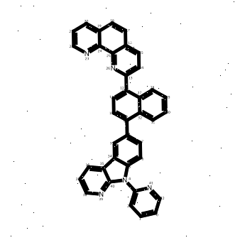 c1ccc(-n2c3ccc(-c4ccc(-c5ccc6ccc7cccnc7c6n5)c5ccccc45)cc3c3cccnc32)nc1